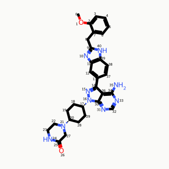 COc1ccccc1Cc1nc2cc(-c3nn([C@H]4CC[C@@H](N5CCNC(=O)C5)CC4)c4ncnc(N)c34)ccc2[nH]1